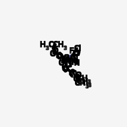 CC(C)COC(=O)c1ccc(NC(=O)C2c3cccc(C4=CCN(C(=O)OC(C)(C)C)CC4)c3CCN2C(=O)/C=C/c2c(-n3cnnn3)ccc(Cl)c2F)cc1